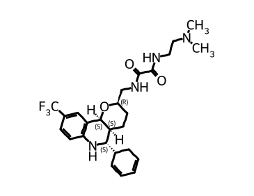 CN(C)CCNC(=O)C(=O)NC[C@H]1CC[C@@H]2[C@H](O1)c1cc(C(F)(F)F)ccc1N[C@H]2C1C=CC=CC1